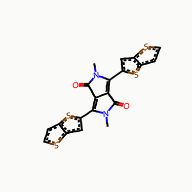 CN1C(=O)C2=C(c3cc4sccc4s3)N(C)C(=O)C2=C1c1cc2sccc2s1